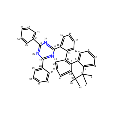 CC1(C)c2ccccc2-c2c(-c3ccccc3-c3nc(-c4ccccc4)nc(-c4ccccc4)n3)cccc2C1(C)C